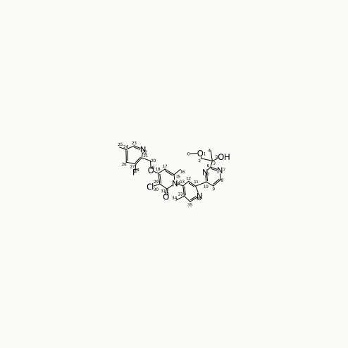 COCC(C)(O)c1nccc(-c2cc(-n3c(C)cc(OCc4ncc(C)cc4F)c(Cl)c3=O)c(C)cn2)n1